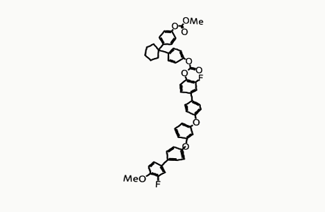 COC(=O)Oc1ccc(C2(c3ccc(OC(=O)Oc4ccc(-c5ccc(Oc6cccc(Oc7ccc(-c8ccc(OC)c(F)c8)cc7)c6)cc5)cc4F)cc3)CCCCC2)cc1